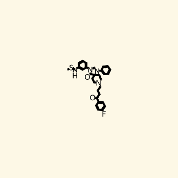 CSNc1cccc(N2CN(c3ccccc3)C3(CCN(CCCC(=O)c4ccc(F)cc4)CC3)C2=O)c1